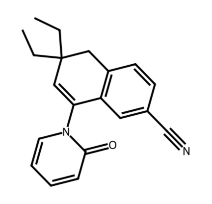 CCC1(CC)C=C(n2ccccc2=O)c2cc(C#N)ccc2C1